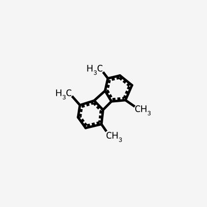 Cc1ccc(C)c2c1-c1c(C)ccc(C)c1-2